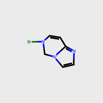 BrN1C=CC2=N[C]=C[N+]2C1